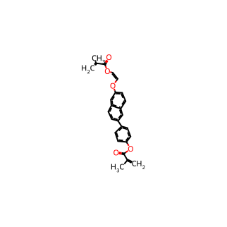 C=C(C)C(=O)O/C=C\Oc1ccc2cc(-c3ccc(OC(=O)C(=C)C)cc3)ccc2c1